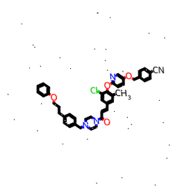 Cc1cc(C=CC(=O)N2CCN(Cc3ccc(CCCOc4ccccc4)cc3)CC2)cc(Cl)c1Oc1ccc(OCc2ccc(C#N)cc2)cn1